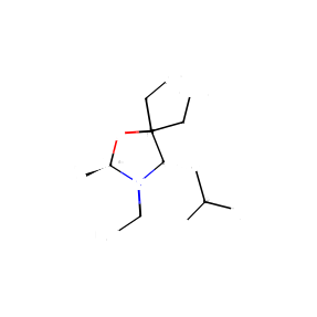 CCN1[C@@H](CC(C)C)C(CC)(CC)O[C@@H]1C